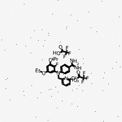 CCOc1cc(OC(C)C)c(F)c(N(Cc2cccc(C(F)(F)F)n2)c2ccc(C(=N)N)cc2)c1.O=C(O)C(F)(F)F.O=C(O)C(F)(F)F